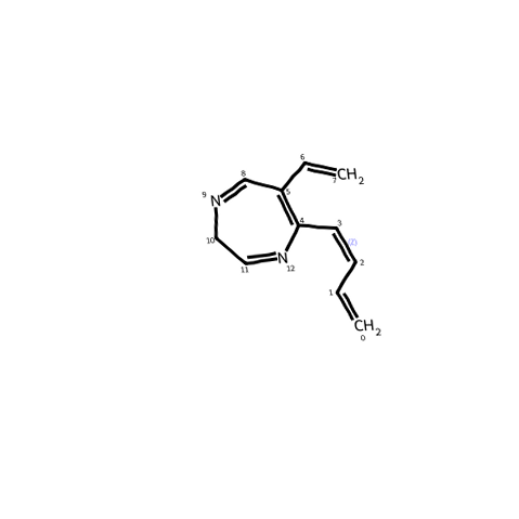 C=C/C=C\C1=C(C=C)C=NCC=N1